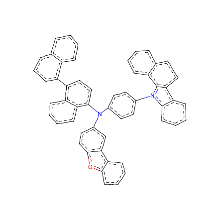 c1ccc2c(-c3ccc(N(c4ccc(-n5c6ccccc6c6ccc7ccccc7c65)cc4)c4ccc5oc6ccccc6c5c4)c4ccccc34)cccc2c1